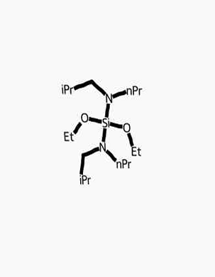 CCCN(CC(C)C)[Si](OCC)(OCC)N(CCC)CC(C)C